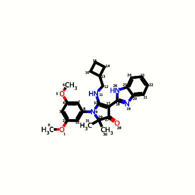 COc1cc(OC)cc(N2C(NCC3CCC3)=C(c3nc4ccccc4[nH]3)C(=O)C2(C)C)c1